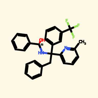 Cc1cccc(C(Cc2ccccc2)(N[C@@H](O)c2ccccc2)c2cccc(C(F)(F)F)c2)n1